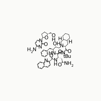 CC(C)(C)NC(=O)[C@@H]1C[C@@H]2CCCC[C@@H]2CN1C[C@@H](O)[C@H](Cc1ccccc1)NC(=O)[C@H](CC(N)=O)NC(=O)c1ccc2ccccc2n1.Nc1ccn([C@H]2CC[C@@H](CO)O2)c(=O)n1